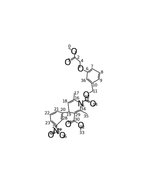 COC(=O)COc1cccc(COC(=O)N2C(C)=CC(c3cccc([N+](=O)[O-])c3)C(C(=O)OC)=C2C)c1